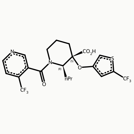 CCC[C@H]1N(C(=O)c2cnccc2C(F)(F)F)CCC[C@@]1(Oc1csc(C(F)(F)F)c1)C(=O)O